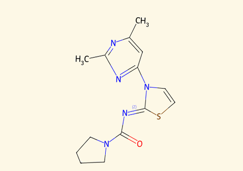 Cc1cc(-n2ccs/c2=N\C(=O)N2CCCC2)nc(C)n1